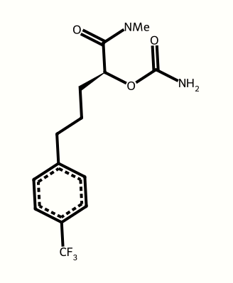 CNC(=O)[C@H](CCCc1ccc(C(F)(F)F)cc1)OC(N)=O